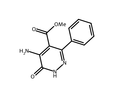 COC(=O)c1c(-c2ccccc2)n[nH]c(=O)c1N